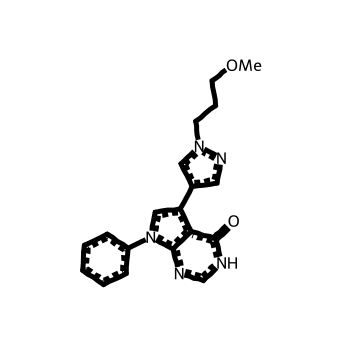 COCCCn1cc(-c2cn(-c3ccccc3)c3nc[nH]c(=O)c23)cn1